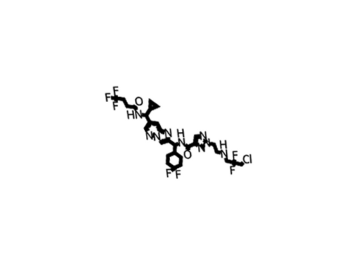 O=C(CCC(F)(F)F)NC(c1cnn2cc(C(NC(=O)c3cnn(CCNCC(F)(F)CCl)n3)C3CCC(F)(F)CC3)nc2c1)C1CC1